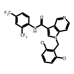 O=C(Nc1ccc(C(F)(F)F)cc1C(F)(F)F)c1cn(Cc2c(Cl)cccc2Cl)c2ccncc12